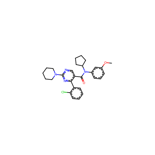 COc1cccc(N(C(=O)c2cnc(N3CCCCC3)nc2-c2ccccc2Cl)C2CCCC2)c1